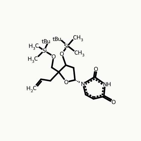 C=CCC1(CO[Si](C)(C)C(C)(C)C)O[C@@H](n2ccc(=O)[nH]c2=O)CC1O[Si](C)(C)C(C)(C)C